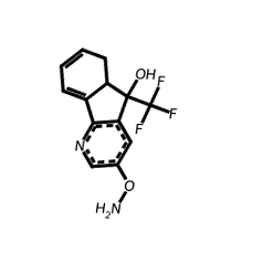 NOc1cnc2c(c1)C(O)(C(F)(F)F)C1CC=CC=C21